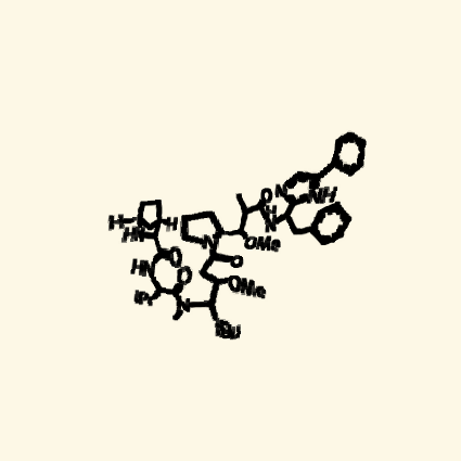 CCC(C)C(C(CC(=O)N1CCC[C@H]1C(OC)C(C)C(=O)NC(Cc1ccccc1)c1ncc(-c2ccccc2)[nH]1)OC)N(C)C(=O)C(NC(=O)[C@H]1N[C@@H]2CC[C@H]1C2)C(C)C